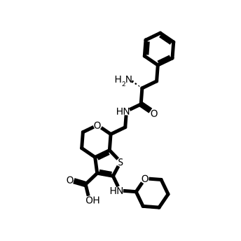 N[C@H](Cc1ccccc1)C(=O)NCC1OCCc2c1sc(NC1CCCCO1)c2C(=O)O